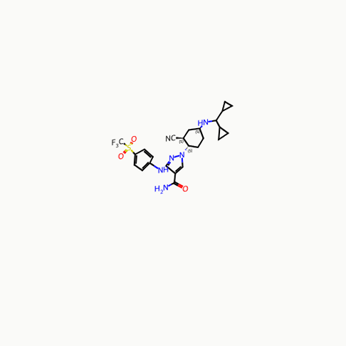 N#C[C@H]1C[C@@H](NC(C2CC2)C2CC2)CC[C@@H]1n1cc(C(N)=O)c(Nc2ccc(S(=O)(=O)C(F)(F)F)cc2)n1